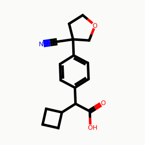 N#CC1(c2ccc(C(C(=O)O)C3CCC3)cc2)CCOC1